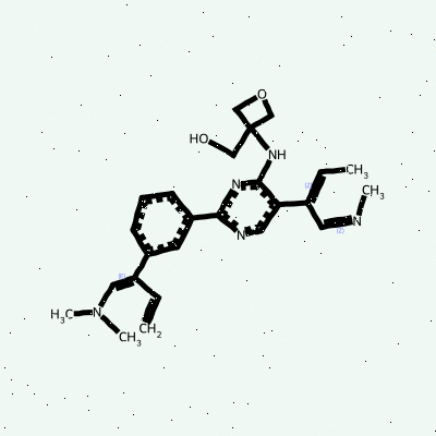 C=C/C(=C\N(C)C)c1cccc(-c2ncc(C(/C=N\C)=C/C)c(NC3(CO)COC3)n2)c1